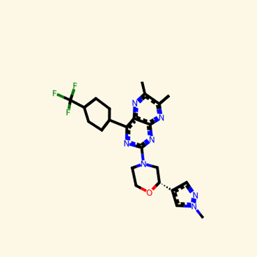 Cc1nc2nc(N3CCO[C@@H](c4cnn(C)c4)C3)nc(C3CCC(C(F)(F)F)CC3)c2nc1C